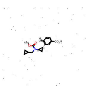 Cc1ccc(C(=O)O)cc1[C@@H]1C[C@H]1N(CC1CC1)C(=O)OC(C)(C)C